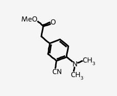 COC(=O)Cc1ccc(N(C)C)c(C#N)c1